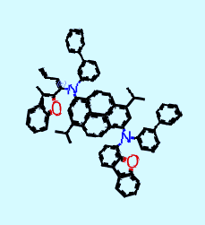 C=C/C=C(\c1oc2ccccc2c1C)N(c1cccc(-c2ccccc2)c1)c1cc(C(C)C)c2ccc3c(N(c4cccc(-c5ccccc5)c4)c4cccc5c4oc4ccccc45)cc(C(C)C)c4ccc1c2c43